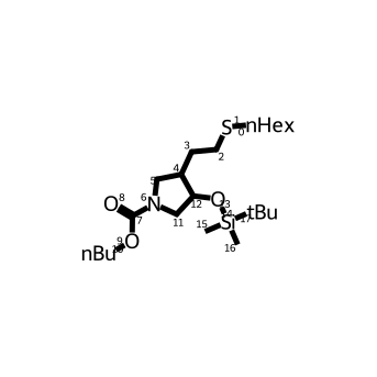 CCCCCCSCCC1CN(C(=O)OCCCC)CC1O[Si](C)(C)C(C)(C)C